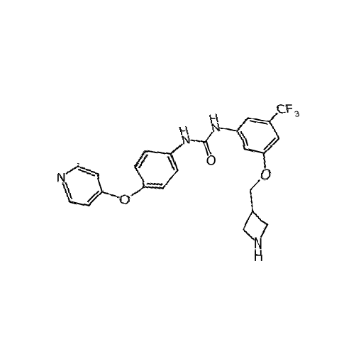 O=C(Nc1ccc(Oc2c[c]ncc2)cc1)Nc1cc(OCC2CNC2)cc(C(F)(F)F)c1